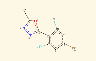 Cc1nnc(-c2c(F)cc(Br)cc2F)o1